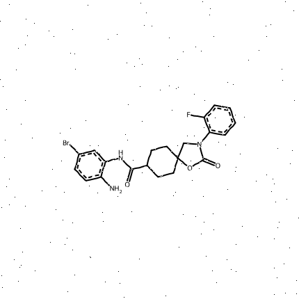 Nc1ccc(Br)cc1NC(=O)C1CCC2(CC1)CN(c1ccccc1F)C(=O)O2